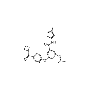 CC(C)Oc1cc(Oc2ccc(C(=O)N3CCC3)cn2)cc(C(=O)Nc2ccn(C)n2)c1